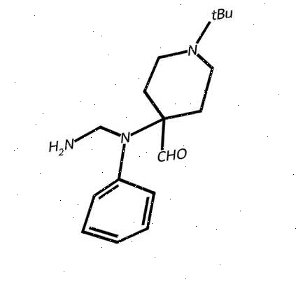 CC(C)(C)N1CCC(C=O)(N(CN)c2ccccc2)CC1